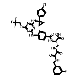 O=C(NCc1cccc(F)c1)C(=O)NC[C@H](NC(=O)c1ccc(Nc2nc(NC3(c4ccc(Cl)cc4)CC3)nc(OCC(F)(F)F)n2)cc1)C(=O)O